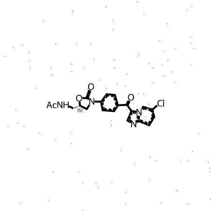 CC(=O)NC[C@H]1CN(c2ccc(C(=O)c3cnc4ccc(Cl)cn34)cc2)C(=O)O1